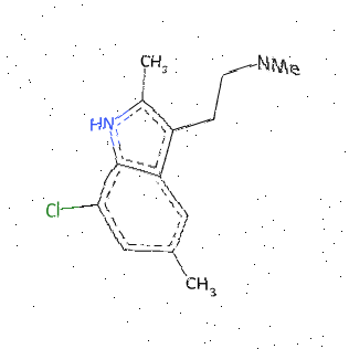 CNCCc1c(C)[nH]c2c(Cl)cc(C)cc12